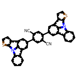 N#Cc1cc(-c2cc3c4ccccc4n4c5sccc5c(c2)c34)c(C#N)cc1-c1cc2c3ccccc3n3c4sccc4c(c1)c23